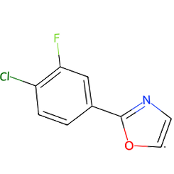 Fc1cc(-c2nc[c]o2)ccc1Cl